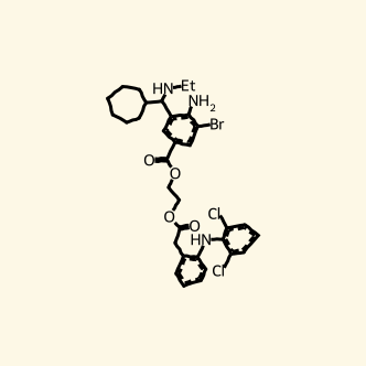 CCNC(c1cc(C(=O)OCCOC(=O)Cc2ccccc2Nc2c(Cl)cccc2Cl)cc(Br)c1N)C1CCCCCC1